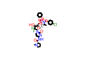 C[C@@H](C(=O)O)N(Oc1ccc(Cl)cc1)P(=O)(OC[C@H]1OC(n2ccc(NC(=O)[C@@H]3CCCN3C)nc2=O)C(F)(F)[C@@H]1O)Oc1ccccc1